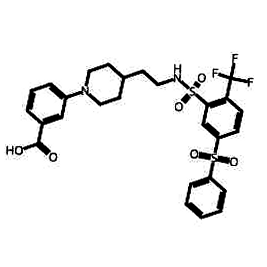 O=C(O)c1cccc(N2CCC(CCNS(=O)(=O)c3cc(S(=O)(=O)c4ccccc4)ccc3C(F)(F)F)CC2)c1